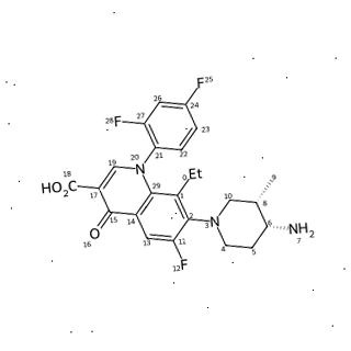 CCc1c(N2CC[C@@H](N)[C@@H](C)C2)c(F)cc2c(=O)c(C(=O)O)cn(-c3ccc(F)cc3F)c12